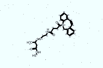 CC(CC(=O)NS)SSCCNC(=O)CCC(=O)N1Cc2ccccc2C#Cc2ccccc21